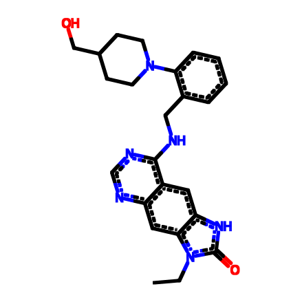 CCn1c(=O)[nH]c2cc3c(NCc4ccccc4N4CCC(CO)CC4)ncnc3cc21